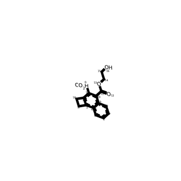 O=C(O)c1c2c(c3ccccc3c1C(=O)OCCO)CC2